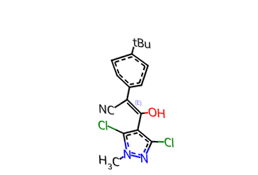 Cn1nc(Cl)c(/C(O)=C(\C#N)c2ccc(C(C)(C)C)cc2)c1Cl